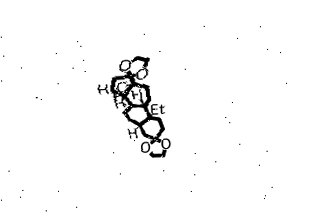 CC[C@]12CCC3(C[C@H]1CC[C@@H]1[C@@H]2CC[C@@]2(C)[C@H]1CCC21OCCO1)OCCO3